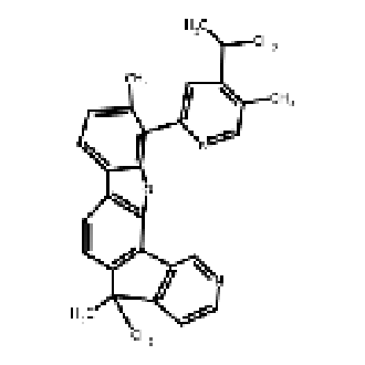 Cc1cnc(-c2c(C)ccc3c2oc2c4c(ccc23)C(C)(C)c2ccncc2-4)cc1C(C)C